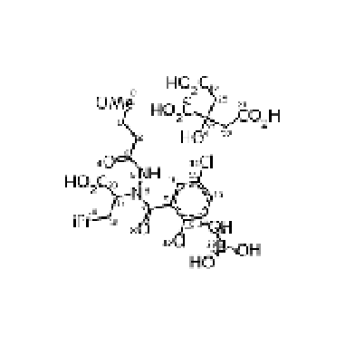 COCCC(=O)NN(C(=O)c1cc(Cl)ccc1Cl)C(CC(C)C)C(=O)O.O=C(O)CC(O)(CC(=O)O)C(=O)O.OB(O)O